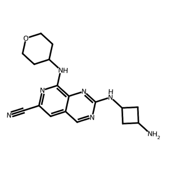 N#Cc1cc2cnc(NC3CC(N)C3)nc2c(NC2CCOCC2)n1